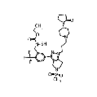 CCOC(=O)N(S)Cc1cc(-c2nn(CCCN3CCC(N4CCCC4=O)CC3)c3c2CN(S(C)(=O)=O)CC3)ccc1C(F)(F)F